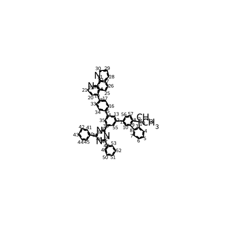 CC1(C)c2ccccc2-c2cc(-c3cc(-c4ccc(-c5ccnc6c5ccc5cccnc56)cc4)cc(-c4nc(-c5ccccc5)nc(-c5ccccc5)n4)c3)ccc21